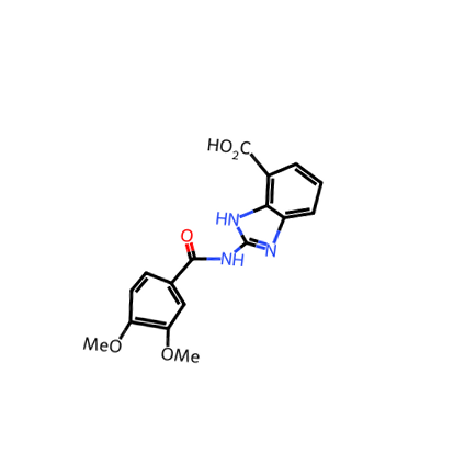 COc1ccc(C(=O)Nc2nc3cccc(C(=O)O)c3[nH]2)cc1OC